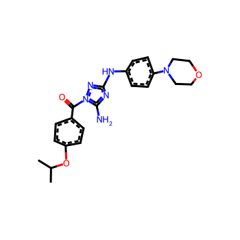 CC(C)Oc1ccc(C(=O)n2nc(Nc3ccc(N4CCOCC4)cc3)nc2N)cc1